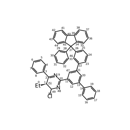 CC[C@H]1C(c2ccccc2)=NC(c2cc(-c3ccccc3)cc(-c3cccc(C4(c5ccccc5)c5ccccc5-c5ccccc54)c3)c2)=NC1Cl